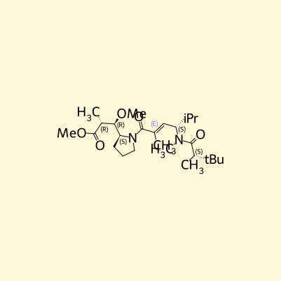 COC(=O)[C@H](C)[C@@H](OC)[C@@H]1CCCN1C(=O)/C(C)=C/[C@H](C(C)C)N(C)C(=O)[C@@H](C)C(C)(C)C